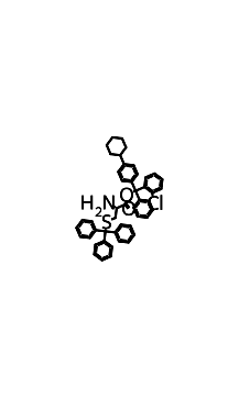 N[C@H](CSC(c1ccccc1)(c1ccccc1)c1ccccc1)C(=O)OC(c1ccccc1)(c1ccc(C2CCCCC2)cc1)c1ccccc1Cl